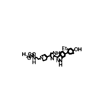 CCc1cc(O)ccc1-c1ccc2c(-c3nc(C4=CCN(CCNS(C)(=O)=O)CC4)c[nH]3)n[nH]c2c1